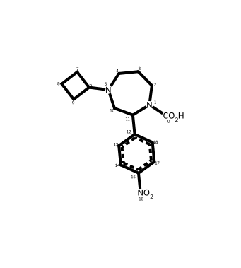 O=C(O)N1CCCN(C2CCC2)CC1c1ccc([N+](=O)[O-])cc1